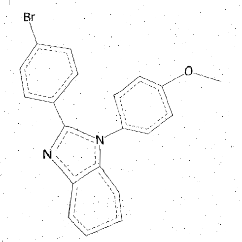 COc1ccc(-n2c(-c3ccc(Br)cc3)nc3ccccc32)cc1